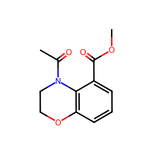 COC(=O)c1cccc2c1N(C(C)=O)CCO2